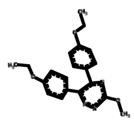 CCOc1ccc(-c2nnc(OC)nc2-c2ccc(OCC)cc2)cc1